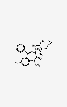 CCCC[C@H](O)[C@@H](CC1CC1)C(=O)C1(N)N=C(c2ccccc2)c2cc(Cl)ccc2N(C)C1=O